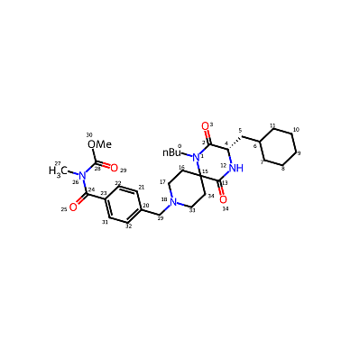 CCCCN1C(=O)[C@H](CC2CCCCC2)NC(=O)C12CCN(Cc1ccc(C(=O)N(C)C(=O)OC)cc1)CC2